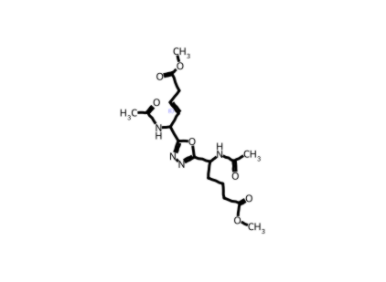 COC(=O)C/C=C/C(NC(C)=O)c1nnc(C(CCCC(=O)OC)NC(C)=O)o1